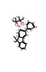 CC1(C)c2ccccc2-c2cc(-c3ccccc3)c(B3OC(C)(C)C(C)(C)O3)cc21